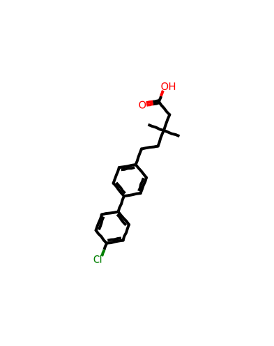 CC(C)(CCc1ccc(-c2ccc(Cl)cc2)cc1)CC(=O)O